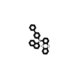 c1ccc(-c2ccc(N(c3cccc4c3Oc3ccccc3O4)c3cccc4ccccc34)cc2)cc1